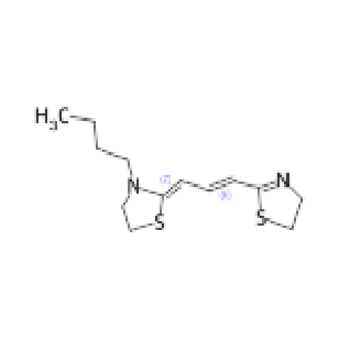 CCCCN1CCS/C1=C\C=C\C1=NCCS1